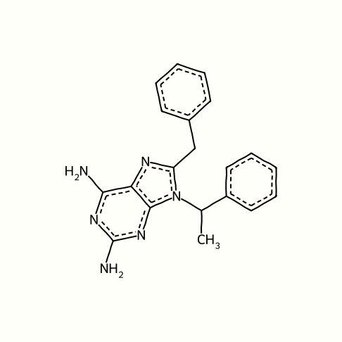 CC(c1ccccc1)n1c(Cc2ccccc2)nc2c(N)nc(N)nc21